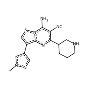 [C-]#[N+]c1c(C2CCCNC2)nc2c(-c3cnn(C)c3)cnn2c1N